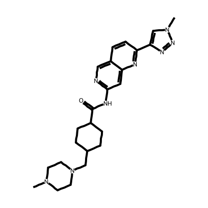 CN1CCN(CC2CCC(C(=O)Nc3cc4nc(-c5cn(C)nn5)ccc4cn3)CC2)CC1